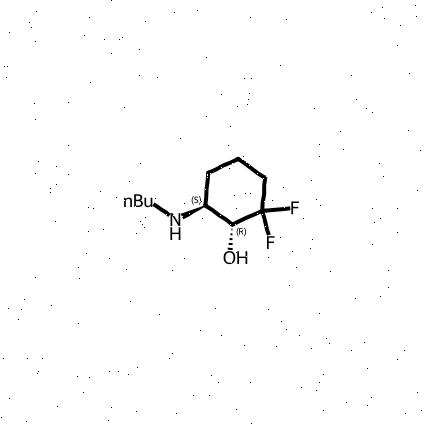 CCCCN[C@H]1CCCC(F)(F)[C@@H]1O